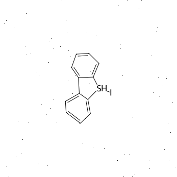 I[SH]1c2ccccc2-c2ccccc21